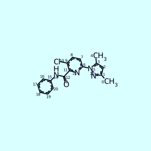 Cc1cc(C)n(-c2ccc(Cl)c(C(=O)Nc3ccccc3)n2)n1